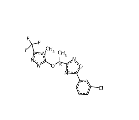 C[C@@H](Oc1nnc(C(F)(F)F)n1C)c1noc(-c2cccc(Cl)c2)n1